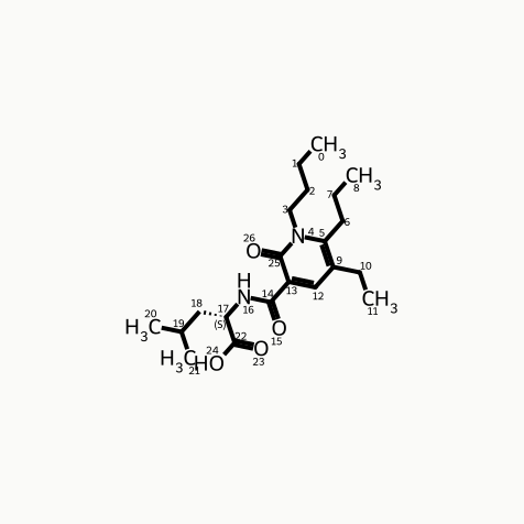 CCCCn1c(CCC)c(CC)cc(C(=O)N[C@@H](CC(C)C)C(=O)O)c1=O